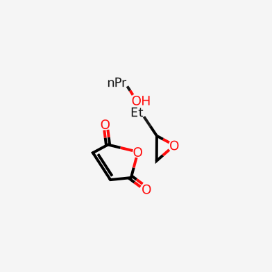 CCC1CO1.CCCO.O=C1C=CC(=O)O1